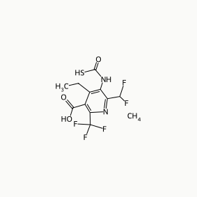 C.CCc1c(NC(=O)S)c(C(F)F)nc(C(F)(F)F)c1C(=O)O